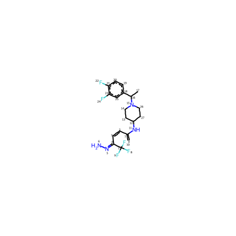 C=C(/C=C\C(=N/N)C(F)(F)F)NC1CCN(C(C)c2ccc(F)c(F)c2)CC1